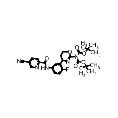 CC(C)(C)OC(=O)N(C(=O)OC(C)(C)C)C1=NC(c2cc(NC(=O)c3ccc(C#N)cn3)ccc2F)CCO1